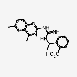 Cc1ccc2nc(NC(=N)NC(C)c3ccccc3C(=O)O)nc(C)c2c1